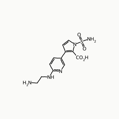 NCCNc1ccc(-c2ccn(S(N)(=O)=O)c2C(=O)O)cn1